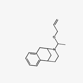 C=CCOC(C)N1CCC2CC1Cc1ccccc12